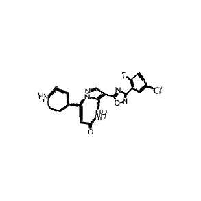 O=c1cc(C2CCNCC2)n2ncc(-c3nc(-c4cc(Cl)ccc4F)no3)c2[nH]1